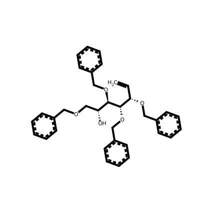 C=C[C@H](OCc1ccccc1)[C@H](OCc1ccccc1)[C@H](OCc1ccccc1)[C@H](O)COCc1ccccc1